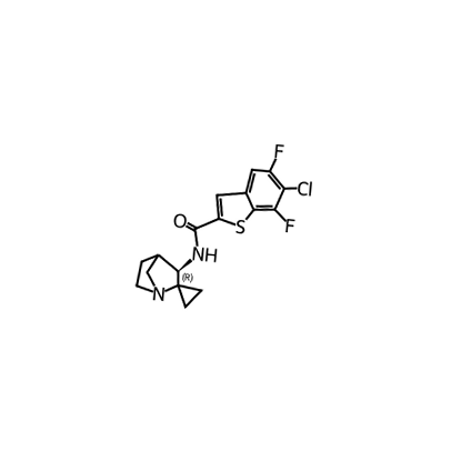 O=C(N[C@@H]1C2CCN(C2)C12CC2)c1cc2cc(F)c(Cl)c(F)c2s1